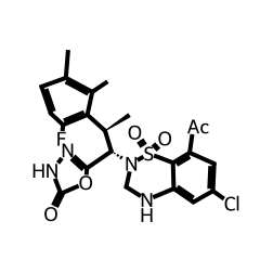 CC(=O)c1cc(Cl)cc2c1S(=O)(=O)N([C@H](c1n[nH]c(=O)o1)[C@H](C)c1c(F)ccc(C)c1C)CN2